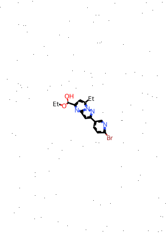 CCO[C@@H](O)c1cc(CC)n2nc(-c3ccc(Br)nc3)cc2n1